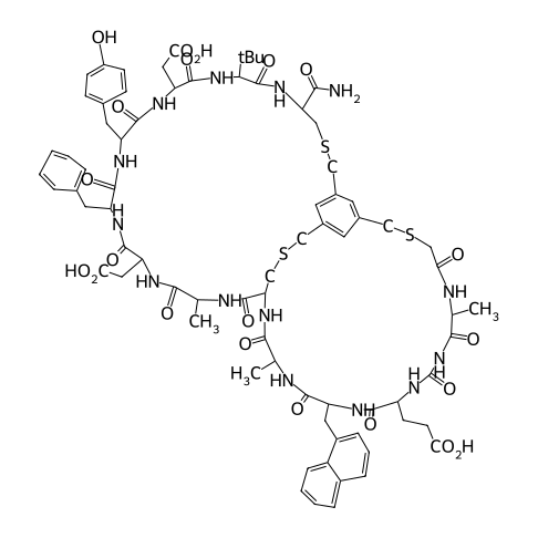 CC1NC(=O)CSCc2cc3cc(c2)CSCC(NC(=O)C(C)NC(=O)C(Cc2cccc4ccccc24)NC(=O)C(CCC(=O)O)NC(=O)NC1=O)C(=O)NC(C)C(=O)NC(CC(=O)O)C(=O)NC(Cc1ccccc1)C(=O)NC(Cc1ccc(O)cc1)C(=O)NC(CC(=O)O)C(=O)NC(C(C)(C)C)C(=O)NC(C(N)=O)CSC3